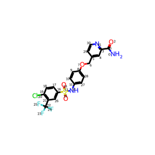 NC(=O)c1cc(COc2ccc(NS(=O)(=O)c3ccc(Cl)c(C(F)(F)F)c3)cc2)ccn1